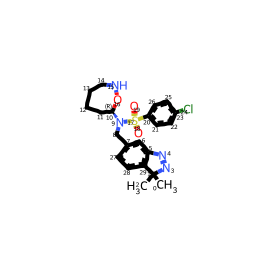 CC1(C)N=Nc2cc(CN([C@H]3CCCCNO3)S(=O)(=O)c3ccc(Cl)cc3)ccc21